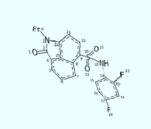 CCN1C(=O)c2cccc3c(S(=O)(=O)Nc4ccc(F)cc4F)ccc1c23